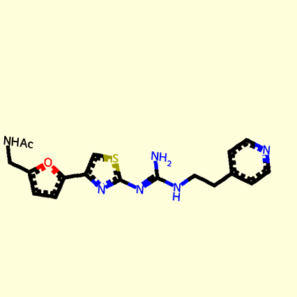 CC(=O)NCc1ccc(-c2csc(/N=C(\N)NCCc3ccncc3)n2)o1